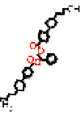 CCCCCC1CCC(c2ccc(C(=O)OC(COC(=O)c3ccc(C4CCC(CCCC)CC4)cc3)c3ccccc3)cc2)CC1